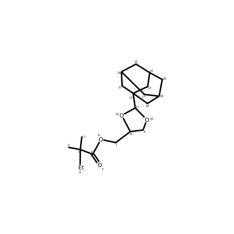 CCC(C)(C)C(=O)OCC1COC(C23CC4CC(CC(C4)C2)C3)O1